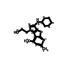 Cc1cc(C)c2c(n1)sc1c(NC3CCCCC3)nn(CCO)c12